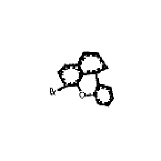 Brc1ccc2cccc3c2c1Oc1ccccc1-3